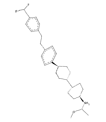 COC(C)[SiH2][C@H]1CC[C@H]([C@H]2CC[C@H](c3ccc(CCc4ccc(C(F)F)cc4)cc3)CC2)CC1